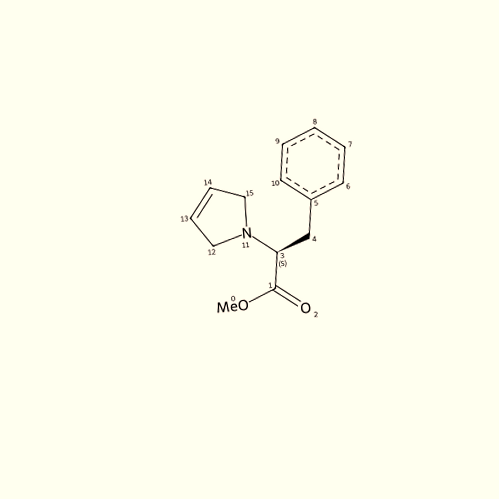 COC(=O)[C@H](Cc1ccccc1)N1CC=CC1